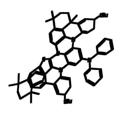 CC1(C)CCC(C)(C)c2cc3c4c(sc3cc21)B1c2ccc3c5c2N(C2=CCC(C(C)(C)C)C=C2C5(C)CCC3(C)C)c2cc(N(c3ccccc3)c3ccccc3)cc(c21)N4C1=CCC(C(C)(C)C)C=C1c1ccccc1